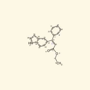 CCOC(=O)/C=C(/c1ccccc1)c1ccc2[nH]ncc2c1